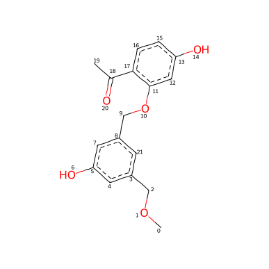 COCc1cc(O)cc(COc2cc(O)ccc2C(C)=O)c1